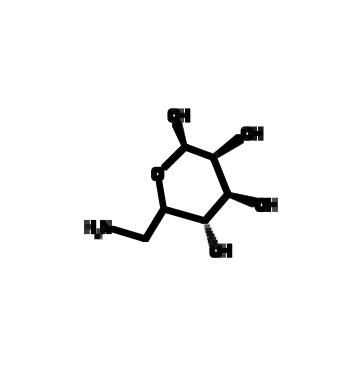 NCC1O[C@@H](O)[C@@H](O)[C@@H](O)[C@@H]1O